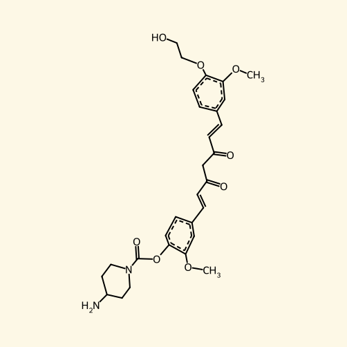 COc1cc(C=CC(=O)CC(=O)C=Cc2ccc(OC(=O)N3CCC(N)CC3)c(OC)c2)ccc1OCCO